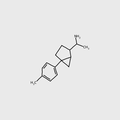 Cc1ccc(C23CCC(C(C)N)C2C3)cc1